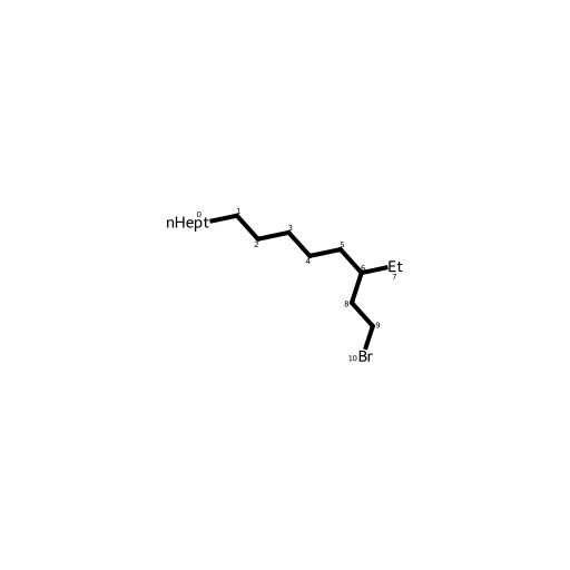 CCCCCCCCCCCCC(CC)CCBr